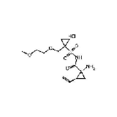 C=C[C@@H]1C[C@]1(N)C(=O)NS(=O)(=O)C1(COCCOC)CC1.Cl